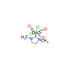 CN1CCN(C)[C]1=[Os]([Cl])([Cl])(=[C]=O)(=[C]=O)=[C]=O